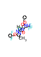 Cc1cc(OCc2c(F)cccc2F)c2nc(Cl)c(C(=O)NCC(C)(CCC(F)(F)F)NC(=O)OCc3ccccc3)n2c1